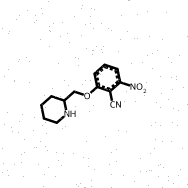 N#Cc1c(OCC2CCCCN2)cccc1[N+](=O)[O-]